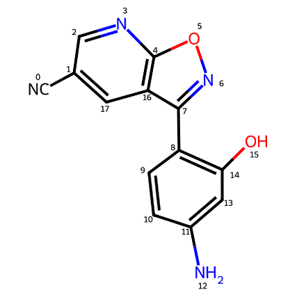 N#Cc1cnc2onc(-c3ccc(N)cc3O)c2c1